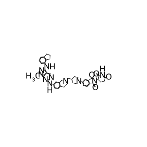 Cn1nc(Nc2cccc3c2CCC3)c2cnc(Nc3ccc4c(c3)CN(CC3CCN(c5ccc6c(c5)C(=O)N(C5CCC(=O)NC5=O)C6=O)CC3)CC4)nc21